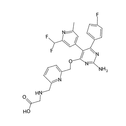 Cc1cc(-c2c(OCc3cccc(CNCC(=O)O)n3)nc(N)nc2-c2ccc(F)cc2)cc(C(F)F)n1